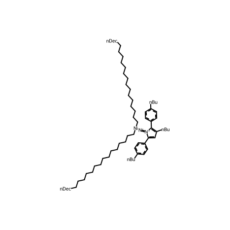 CCCCC1=C(c2ccc(CCCC)cc2)[N+](=[N-])C(c2ccc(CCCC)cc2)=C1.CCCCCCCCCCCCCCCCCCCCCCCC[CH2][Ni][CH2]CCCCCCCCCCCCCCCCCCCCCCCC